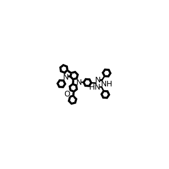 c1ccc(C2=NC(c3ccc(-n4c5cc6c(cc5c5c4ccc4c7ccccc7n(-c7ccccc7)c45)oc4ccccc46)cc3)NC(c3ccccc3)N2)cc1